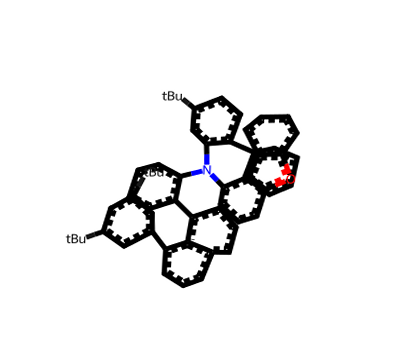 CC(C)(C)c1cc(-c2cccc3cccc(-c4ccccc4N(c4cc(C(C)(C)C)ccc4-c4ccccc4)c4cccc5oc6ccccc6c45)c23)cc(C(C)(C)C)c1